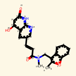 Cc1oc2ccccc2c1CN(C)C(=O)/C=C/c1cnc2[nH]c(=O)cc(O)c2c1